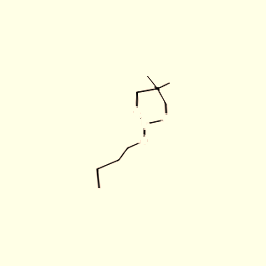 CCCCOB1OCC(C)(C)CO1